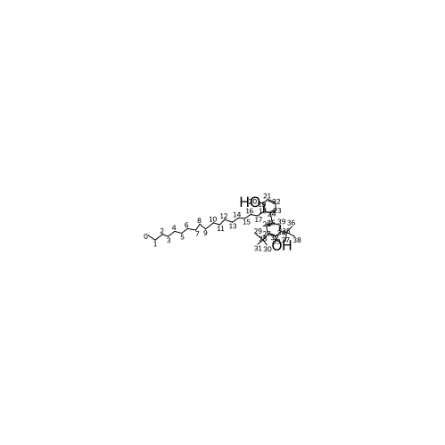 CCCCCCCCCCCCCCCCCCc1c(O)cccc1-c1cc(C(C)(C)C)c(O)c(C(C)(C)C)c1